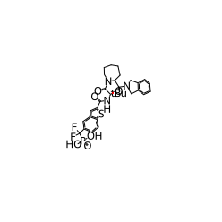 CC(C)(C)C(NC(=O)c1cc2cc(C(F)(F)P(=O)(O)O)ccc2s1)C(=O)N1CCCCCC1C(=O)N1Cc2ccccc2C1